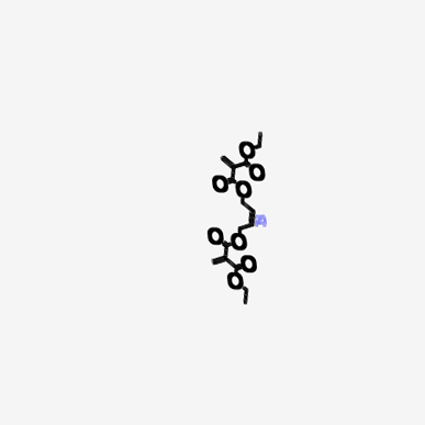 C=C(C(=O)OCC)C(=O)OC/C=C\COC(=O)C(=C)C(=O)OCC